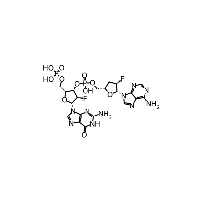 Nc1nc2c(ncn2[C@@H]2O[C@H](COP(=O)(O)O)[C@@H](OP(=O)(O)OC[C@@H]3C[C@@H](F)[C@H](n4cnc5c(N)ncnc54)O3)[C@H]2F)c(=O)[nH]1